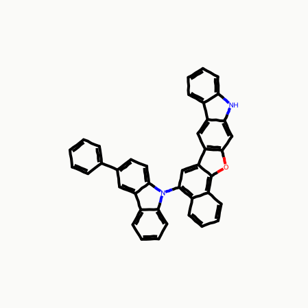 c1ccc(-c2ccc3c(c2)c2ccccc2n3-c2cc3c4cc5c(cc4oc3c3ccccc23)[nH]c2ccccc25)cc1